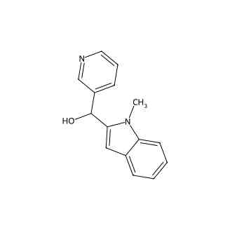 Cn1c(C(O)c2cccnc2)cc2ccccc21